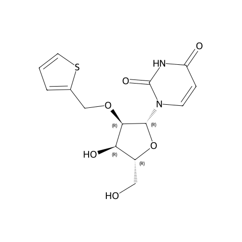 O=c1ccn([C@@H]2O[C@H](CO)[C@@H](O)[C@H]2OCc2cccs2)c(=O)[nH]1